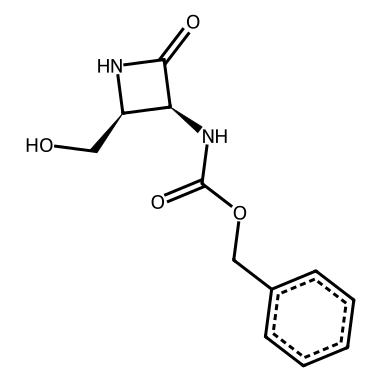 O=C(N[C@@H]1C(=O)N[C@@H]1CO)OCc1ccccc1